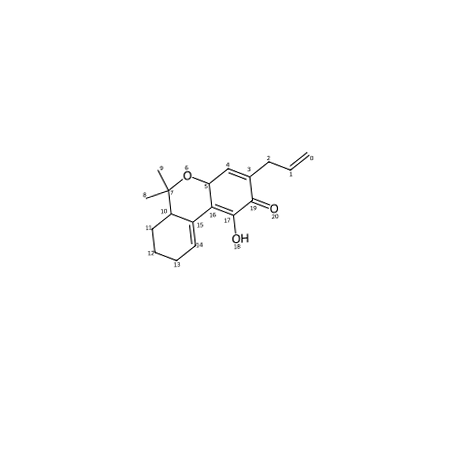 C=CCC1=CC2OC(C)(C)C3CCCC=C3C2=C(O)C1=O